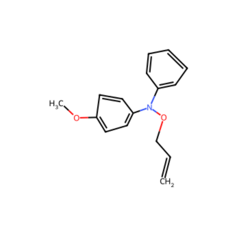 C=CCON(c1ccccc1)c1ccc(OC)cc1